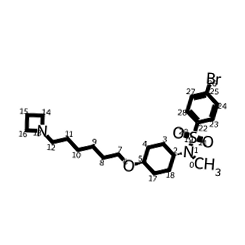 CN([C@H]1CC[C@H](OCCCCCCN2CCC2)CC1)S(=O)(=O)c1ccc(Br)cc1